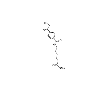 COC(=O)CCCCCNC(=O)c1ccc(C(=O)CBr)cc1